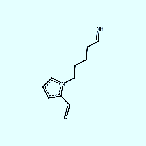 N=CCCCCn1cccc1C=O